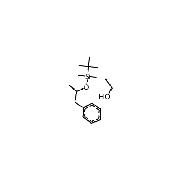 CC(Cc1ccccc1)O[Si](C)(C)C(C)(C)C.CCO